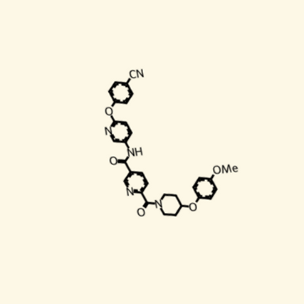 COc1ccc(OC2CCN(C(=O)c3ccc(C(=O)Nc4ccc(Oc5ccc(C#N)cc5)nc4)cn3)CC2)cc1